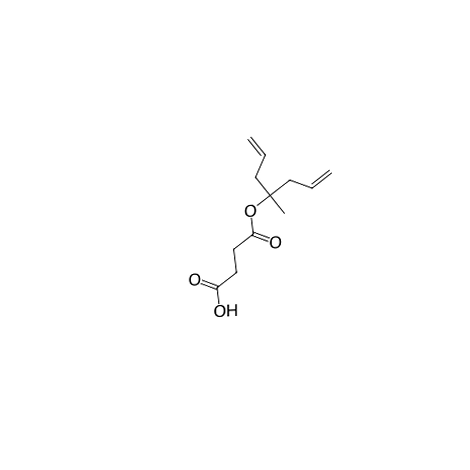 C=CCC(C)(CC=C)OC(=O)CCC(=O)O